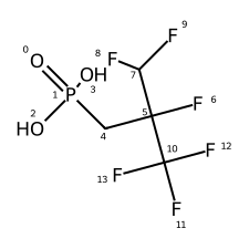 O=P(O)(O)CC(F)(C(F)F)C(F)(F)F